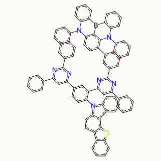 c1ccc(-c2cc(-c3ccc(-n4c5ccccc5c5c6sc7ccccc7c6ccc54)c(-c4cc(-c5ccccc5)nc(-c5cccc(-c6ccc7c8c6N(c6ccccc6)c6ccccc6B8c6ccccc6N7c6ccccc6)c5)n4)c3)nc(-c3ccccc3)n2)cc1